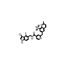 Cc1ccc2cc(Cc3cc(C(=O)NCc4ccc5[nH]cc(Cl)c5c4F)ccn3)cc(S(C)(=O)=O)c2n1